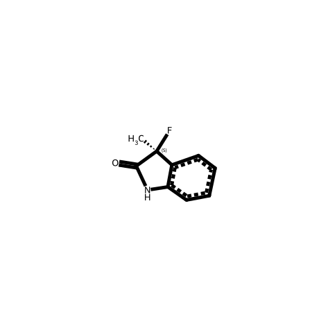 C[C@@]1(F)C(=O)Nc2ccccc21